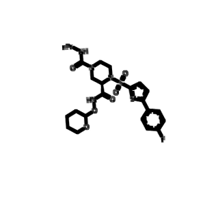 CCCNC(=O)N1CCN(S(=O)(=O)c2ccc(-c3ccc(F)cc3)s2)[C@@H](C(=O)NOC2CCCCO2)C1